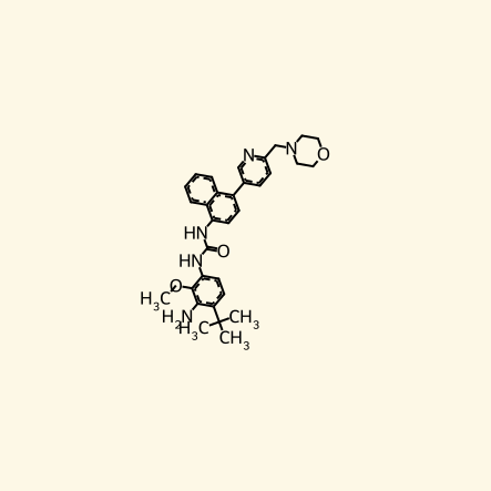 COc1c(NC(=O)Nc2ccc(-c3ccc(CN4CCOCC4)nc3)c3ccccc23)ccc(C(C)(C)C)c1N